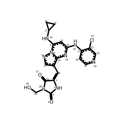 O=C1N/C(=C/c2cnn3c(NC4CC4)cc(Nc4ccncc4Cl)nc23)C(=O)N1CO